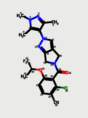 Cc1nn(C)c(C)c1-n1cc2c(n1)CN(C(=O)c1c(O[C@@H](C)C(F)(F)F)ccc(C#N)c1Cl)C2